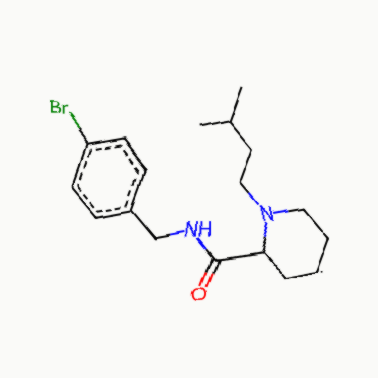 CC(C)CCN1CC[CH]CC1C(=O)NCc1ccc(Br)cc1